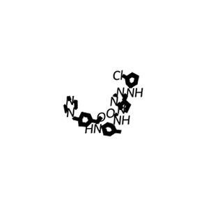 Cc1ccc(NC(=O)c2ccc(CN3CCN(C)CC3)cc2)cc1NC(=O)n1ccc2c(Nc3cccc(Cl)c3)ncnc21